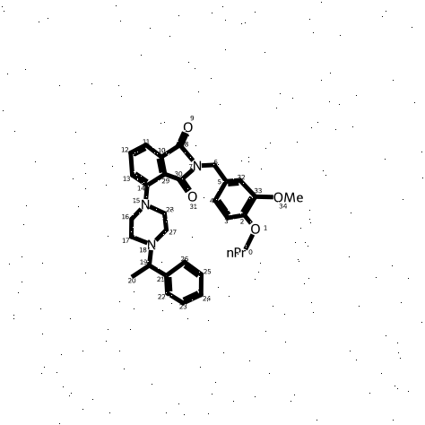 CCCOc1ccc(CN2C(=O)c3cccc(N4CCN(C(C)c5ccccc5)CC4)c3C2=O)cc1OC